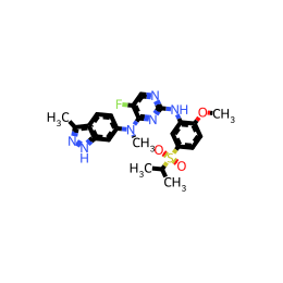 COc1ccc(S(=O)(=O)C(C)C)cc1Nc1ncc(F)c(N(C)c2ccc3c(C)n[nH]c3c2)n1